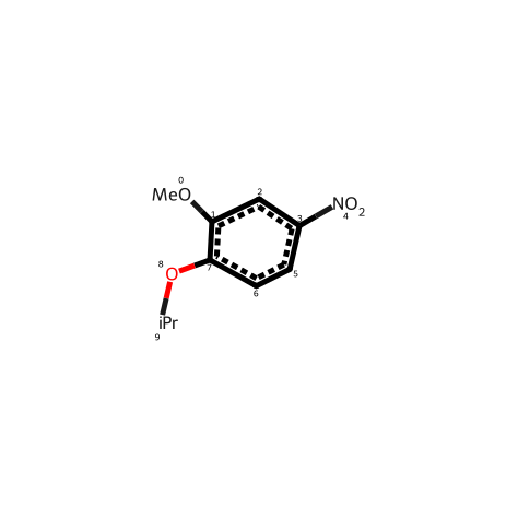 COc1cc([N+](=O)[O-])ccc1OC(C)C